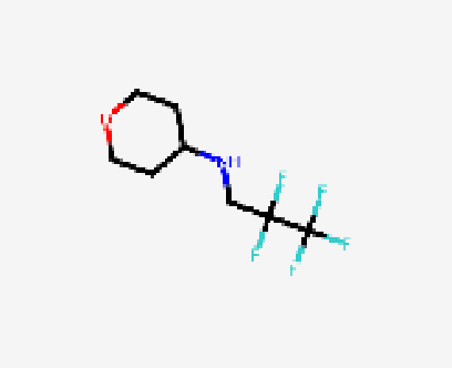 FC(F)(F)C(F)(F)CNC1CCOCC1